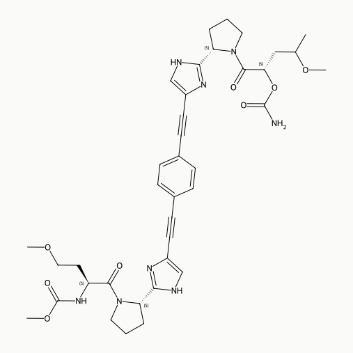 COCC[C@H](NC(=O)OC)C(=O)N1CCC[C@H]1c1nc(C#Cc2ccc(C#Cc3c[nH]c([C@@H]4CCCN4C(=O)[C@H](CC(C)OC)OC(N)=O)n3)cc2)c[nH]1